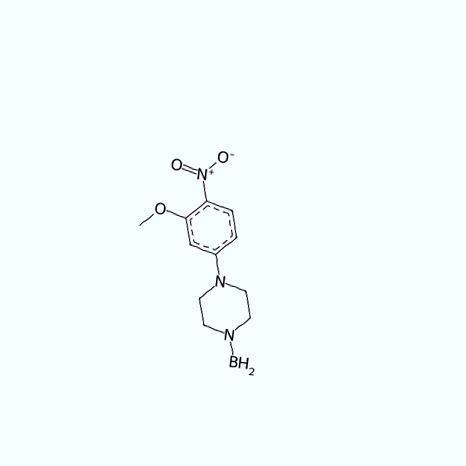 BN1CCN(c2ccc([N+](=O)[O-])c(OC)c2)CC1